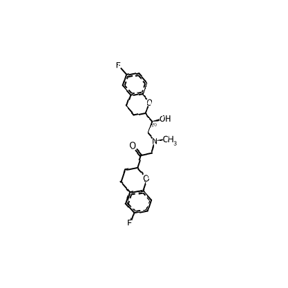 CN(CC(=O)C1CCc2cc(F)ccc2O1)C[C@H](O)C1CCc2cc(F)ccc2O1